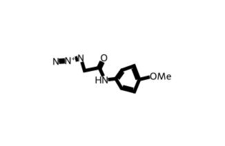 COc1ccc(NC(=O)CN=[N+]=[N-])cc1